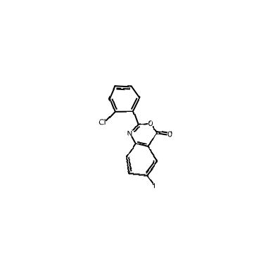 O=c1oc(-c2ccccc2Cl)nc2ccc(I)cc12